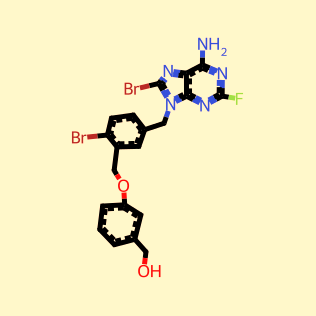 Nc1nc(F)nc2c1nc(Br)n2Cc1ccc(Br)c(COc2cccc(CO)c2)c1